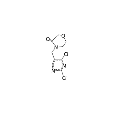 O=C1COCCN1Cc1cnc(Cl)nc1Cl